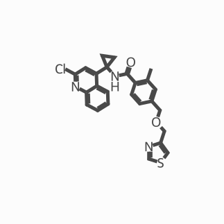 Cc1cc(COCc2cscn2)ccc1C(=O)NC1(c2cc(Cl)nc3ccccc23)CC1